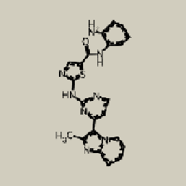 Cc1nc2ccccn2c1-c1ccnc(Nc2ncc(C(=O)Nc3ccccc3N)s2)n1